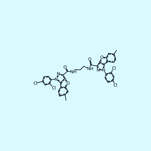 Cc1ccc2c(c1)oc1c(C(=O)NCCCNC(=O)c3nn(-c4ccc(Cl)cc4Cl)c4c3oc3cc(C)ccc34)nn(-c3ccc(Cl)cc3Cl)c12